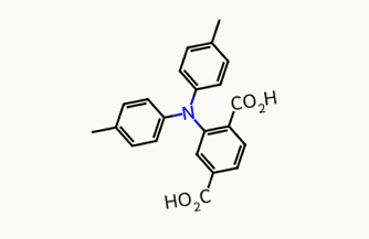 Cc1ccc(N(c2ccc(C)cc2)c2cc(C(=O)O)ccc2C(=O)O)cc1